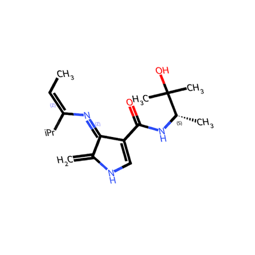 C=C1NC=C(C(=O)N[C@@H](C)C(C)(C)O)/C1=N/C(=C\C)C(C)C